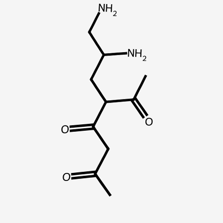 CC(=O)CC(=O)C(CC(N)CN)C(C)=O